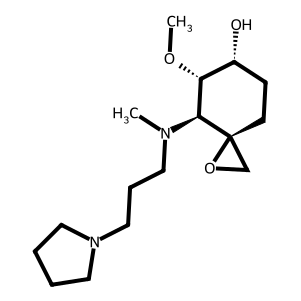 CO[C@@H]1[C@H](O)CC[C@]2(CO2)[C@H]1N(C)CCCN1CCCC1